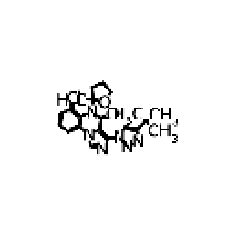 CC(C)(C)c1cn(-c2ncn3c2c(=O)n(C2(C)CCCO2)c2c(Cl)cccc23)nn1